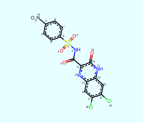 O=C(NS(=O)(=O)c1ccc([N+](=O)[O-])cc1)c1nc2cc(Cl)c(Cl)cc2[nH]c1=O